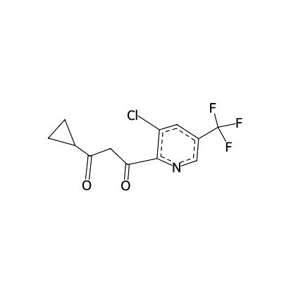 O=C(CC(=O)C1CC1)c1ncc(C(F)(F)F)cc1Cl